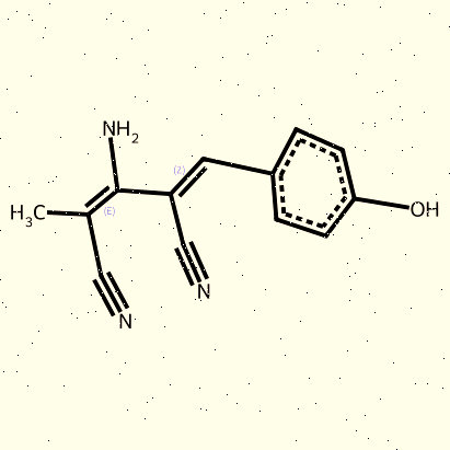 C/C(C#N)=C(N)/C(C#N)=C/c1ccc(O)cc1